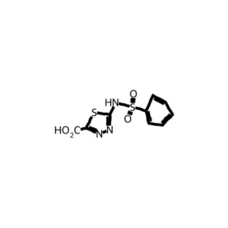 O=C(O)c1nnc(NS(=O)(=O)c2ccccc2)s1